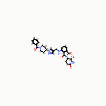 O=C1CCC(N2C(=O)c3cccc(NCc4cnn(C5CCN(C(=O)c6ccccc6)CC5)c4)c3C2=O)C(=O)N1